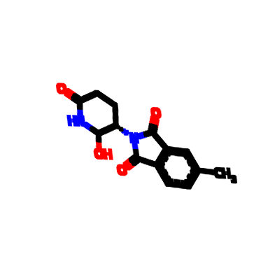 Cc1ccc2c(c1)C(=O)N([C@H]1CCC(=O)NC1O)C2=O